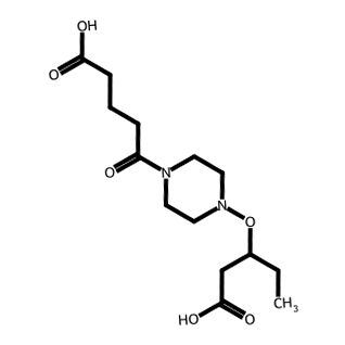 CCC(CC(=O)O)ON1CCN(C(=O)CCCC(=O)O)CC1